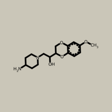 COc1ccc2c(c1)OCC(C(O)CN1CCC(N)CC1)O2